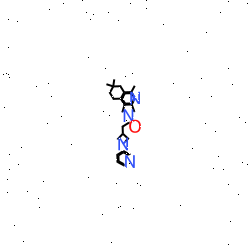 Cc1nc2c(c3c1CC(C)(C)CC3)CN(C(=O)CC1CN(c3cccnc3)C1)C2